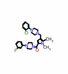 Cc1c(CN2CCN(c3ccccc3Cl)CC2)cc(C(=O)N2CCN(c3cccc(F)c3)CC2)n1C